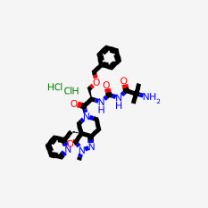 CN1N=C2CCN(C(=O)[C@@H](COCc3ccccc3)NC(=O)NC(=O)C(C)(C)N)C[C@]2(Cc2ccccn2)C1=O.Cl.Cl